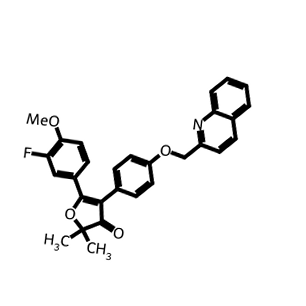 COc1ccc(C2=C(c3ccc(OCc4ccc5ccccc5n4)cc3)C(=O)C(C)(C)O2)cc1F